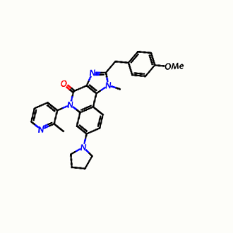 COc1ccc(Cc2nc3c(=O)n(-c4cccnc4C)c4cc(N5CCCC5)ccc4c3n2C)cc1